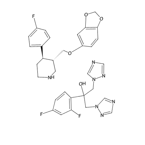 Fc1ccc([C@@H]2CCNC[C@H]2COc2ccc3c(c2)OCO3)cc1.OC(Cn1cncn1)(Cn1cncn1)c1ccc(F)cc1F